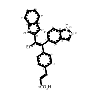 CCC(=C(c1ccc(C=CC(=O)O)cc1)c1ccc2[nH]ncc2c1)c1cc2ccccc2s1